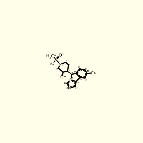 CS(=O)(=O)N1CCC([C@H]2c3ccc(F)cc3-c3cncn32)C(O)C1